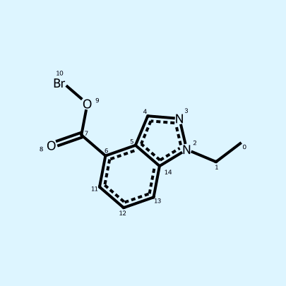 CCn1ncc2c(C(=O)OBr)cccc21